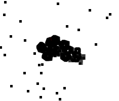 CCCCC(=O)N(Cc1ccc(-c2ccccc2-c2nnnn2C(c2ccccc2)(c2ccccc2)c2ccccc2)cc1)c1ncccc1[N+](=O)[O-]